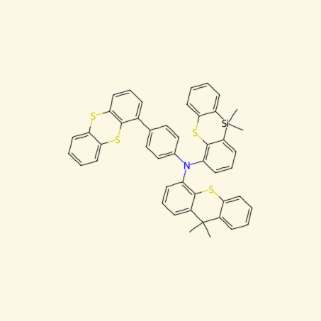 CC1(C)c2ccccc2Sc2c(N(c3ccc(-c4cccc5c4Sc4ccccc4S5)cc3)c3cccc4c3Sc3ccccc3[Si]4(C)C)cccc21